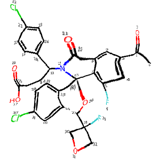 CC(=O)c1cc(F)c2c(c1)C(=O)N(C(CC(=O)O)c1ccc(Cl)cc1)[C@@]2(OCC1(F)COC1)c1ccc(Cl)cc1